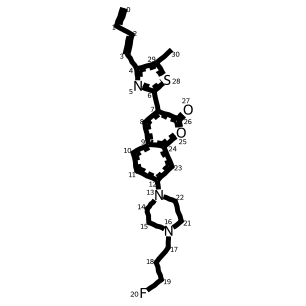 C=CC=Cc1nc(-c2cc3ccc(N4CCN(CCCF)CC4)cc3oc2=O)sc1C